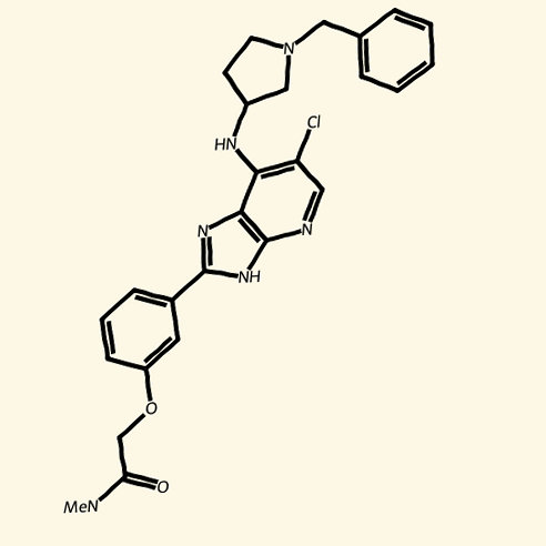 CNC(=O)COc1cccc(-c2nc3c(NC4CCN(Cc5ccccc5)C4)c(Cl)cnc3[nH]2)c1